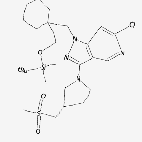 CC(C)(C)[Si](C)(C)OCC1(Cn2nc(N3CC[C@H](CS(C)(=O)=O)C3)c3cnc(Cl)cc32)CCCCC1